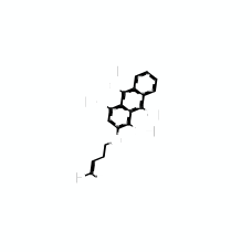 Cc1cc(OCCC=C(F)F)c(C)c2c(C)c3ccccc3c(C)c12